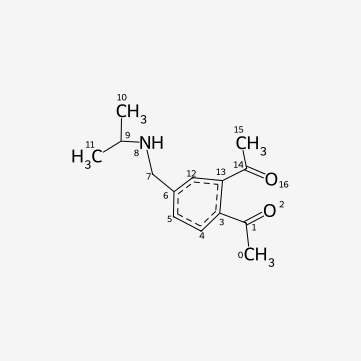 CC(=O)c1ccc(CNC(C)C)cc1C(C)=O